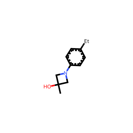 CCc1ccc(N2CC(C)(O)C2)cc1